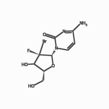 Nc1ccn([C@@H]2O[C@H](CO)C(O)[C@@]2(F)Br)c(=O)n1